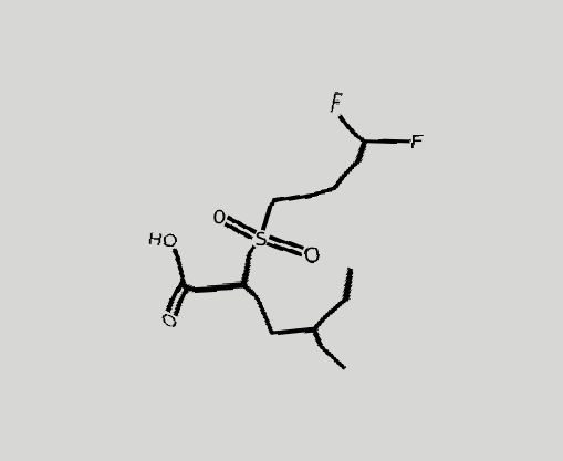 CC(C)CC(C(=O)O)S(=O)(=O)CCC(F)F